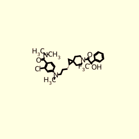 CN(C)C(=O)c1ccc(N(C)CCC[C@@H]2CC23CCN(C(=O)[C@](O)(c2ccccc2)C(F)(F)F)CC3)cc1Cl